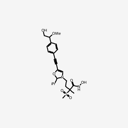 COC(CO)c1ccc(C#CC2=CN(CCC(C)(C(=O)NO)S(C)(=O)=O)C(C(C)C)O2)cc1